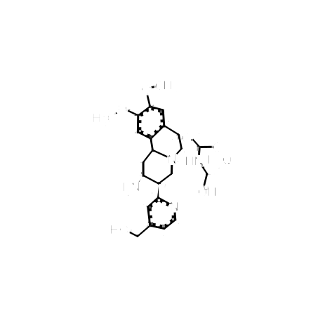 COc1cc2c(cc1OC)C1C[C@@H](N)[C@H](c3cc(CO)ccn3)CN1CC2.O.OCNC(Cl)Cl